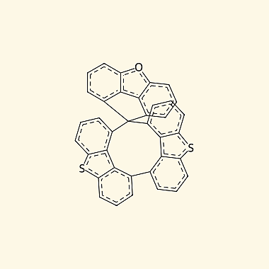 c1cc2c3c(c1)oc1cccc(c13)C21c2cccc3sc4cccc(c4c23)-c2cccc3sc4cccc1c4c23